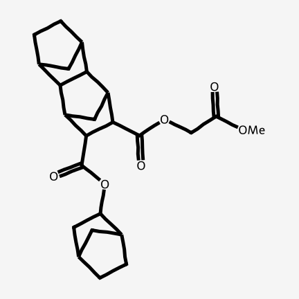 COC(=O)COC(=O)C1C2CC(C1C(=O)OC1CC3CCC1C3)C1C3CCC(C3)C21